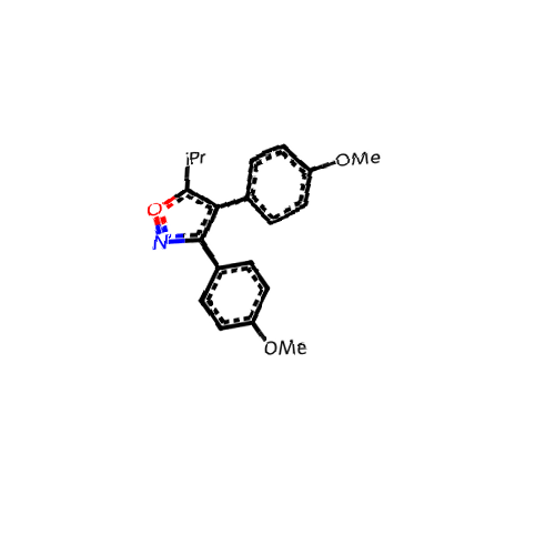 COc1ccc(-c2noc(C(C)C)c2-c2ccc(OC)cc2)cc1